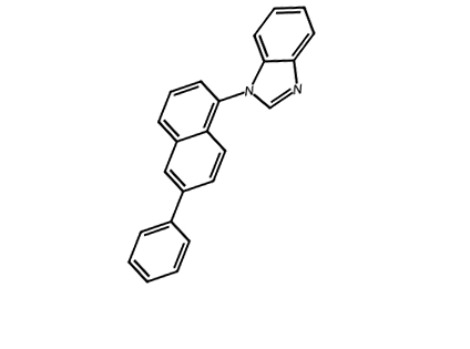 c1ccc(-c2ccc3c(-n4cnc5ccccc54)cccc3c2)cc1